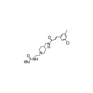 Cc1cc(Cl)cc(/C=C/C(=O)NCC2CCN(CCNC(=O)C(C)(C)C)CC2)c1